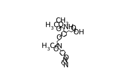 Cc1oc(-c2ccc(ON3C=CC=NC3)cc2)nc1CCOc1ccc(CCC(=O)O)c(C(N)C(=O)OC(C)C)c1